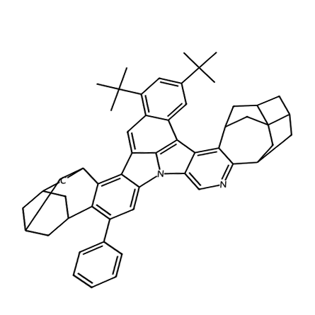 CC(C)(C)c1cc(C(C)(C)C)c2cc3c4c5c(c(-c6ccccc6)cc4n4c6cnc7c(c6c(c2c1)c34)C1CC2CC3CC7CC32C1)C1CC2CC(C1)CC5C2